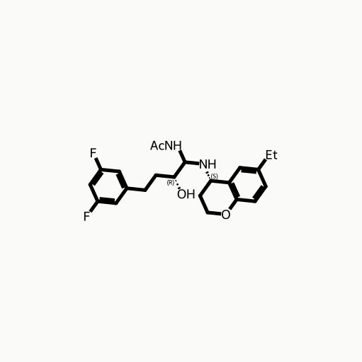 CCc1ccc2c(c1)[C@@H](NC(NC(C)=O)[C@H](O)CCc1cc(F)cc(F)c1)CCO2